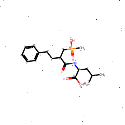 CC(C)C[C@H](NC(=O)C(CCc1ccccc1)CP(C)(=O)O)C(=O)O